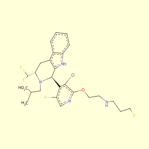 CC(CN1[C@H](c2c(F)cnc(OCCNCCCF)c2Cl)c2[nH]c3ccccc3c2C[C@H]1C(F)F)C(=O)O